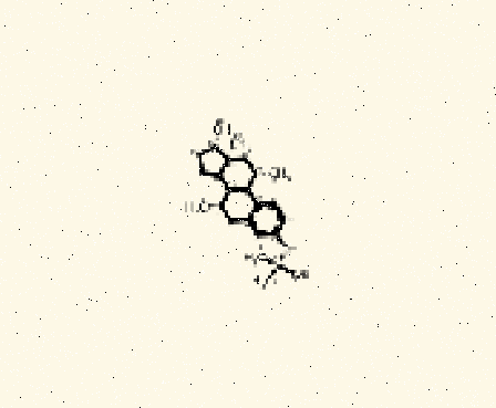 C[C@@H]1Cc2cc(O[Si](C)(C)C(C)(C)C)ccc2C2C1C1CC[C@H](O)[C@@]1(C)C[C@@H]2C